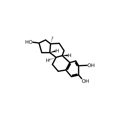 C[C@]12CC[C@@H]3c4cc(O)c(O)cc4CC[C@H]3[C@@H]1CC(O)C2